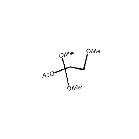 COCC(OC)(OC)OC(C)=O